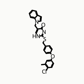 Cc1cc(Oc2ccc(CSc3nc(=O)c(Cn4ccc5ccccc54)c[nH]3)cc2)ccc1Cl